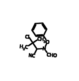 CC(C)(Cl)C(C#N)N(C=O)Oc1ccccc1